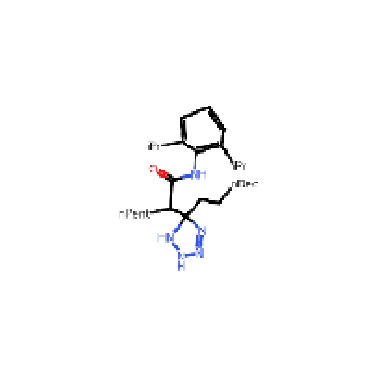 CCCCCCCCCCCCC1(C(CCCCC)C(=O)Nc2c(C(C)C)cccc2C(C)C)N=NNN1